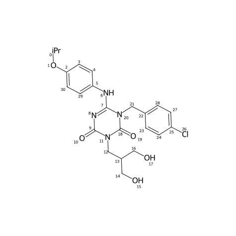 CC(C)Oc1ccc(Nc2nc(=O)n(CC(CO)CO)c(=O)n2Cc2ccc(Cl)cc2)cc1